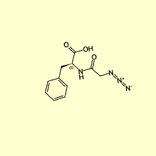 [N-]=[N+]=NCC(=O)N[C@@H](Cc1ccccc1)C(=O)O